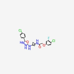 O=C(COc1ccc(Cl)c(F)c1)NC12CC(NC3NNC(c4ccc(Cl)cc4)O3)(C1)C2